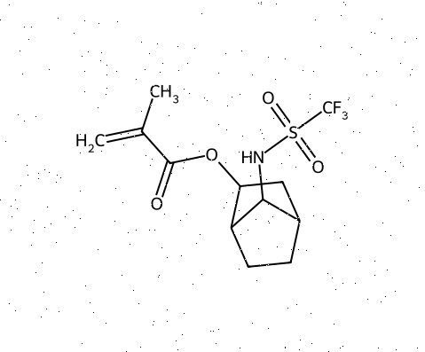 C=C(C)C(=O)OC1CC2CCC1C2NS(=O)(=O)C(F)(F)F